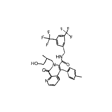 Cc1ccc(-c2c(C(=O)NCc3cc(C(F)(F)F)cc(C(F)(F)F)c3)n(C[C@H](C)CO)c(=O)c3ncccc23)cc1